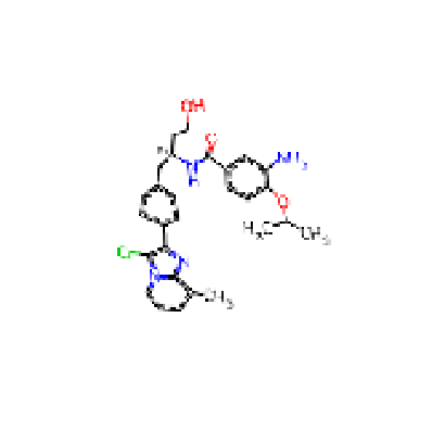 Cc1cccn2c(Cl)c(-c3ccc(C[C@@H](CCO)NC(=O)c4ccc(OC(C)C)c(N)c4)cc3)nc12